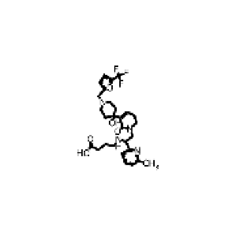 Cc1cccc(C(CN2CCC=C(C3(O)CCN(Cc4ccc(C(F)(F)F)o4)CC3)C2=O)NCCCC(=O)O)n1